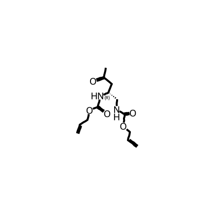 C=CCOC(=O)NC[C@@H](CC(C)=O)NC(=O)OCC=C